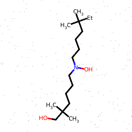 CCC(C)(C)CCCCN(O)CCCCC(C)(C)CO